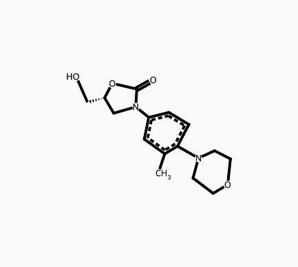 Cc1cc(N2C[C@H](CO)OC2=O)ccc1N1CCOCC1